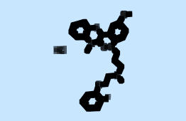 COc1ccc(OCCCN(C)CCOc2ccccc2F)c(C2Sc3ccccc3N(C)C2=O)c1.Cl